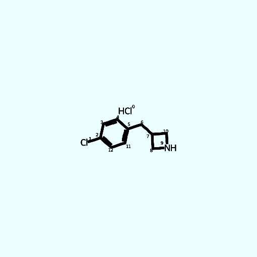 Cl.Clc1ccc(CC2CNC2)cc1